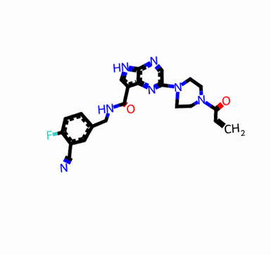 C=CC(=O)N1CCN(c2cnc3[nH]cc(C(=O)NCc4ccc(F)c(C#N)c4)c3n2)CC1